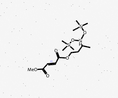 COC(=O)/C=C/C(=O)OCCC(C)[SiH](O[Si](C)(C)C)O[Si](C)(C)C